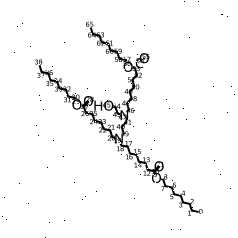 CCCCCCCCCOC(=O)CCCCCCCN(CCCCCCCC(=O)OCCCCCCCCC)CCCN(CCO)CCCCCCCC(=C=O)OCCCCCCCCC